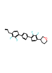 C=CCc1ccc(-c2ccc(-c3ccc(C4CCCOC4)c(F)c3F)cc2)c(F)c1F